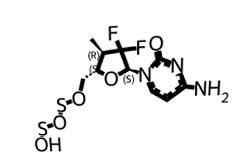 C[C@@H]1[C@@H](COSOSO)O[C@H](n2ccc(N)nc2=O)C1(F)F